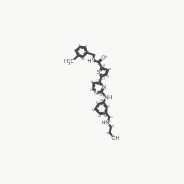 Cc1cccc(CNC(=O)c2ccc(-c3ccnc(Nc4cccc(CNCCO)c4)n3)s2)c1